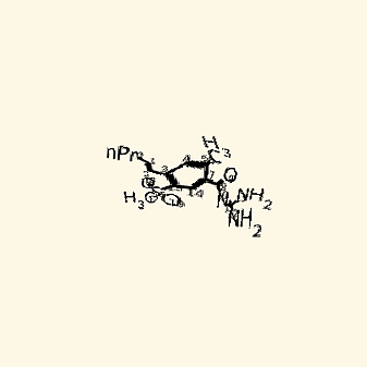 CCCC=Cc1cc(C)c(C(=O)N=C(N)N)cc1S(C)(=O)=O